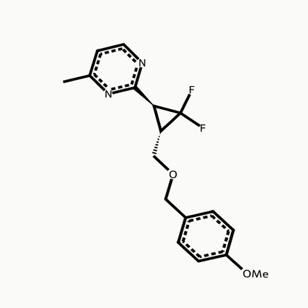 COc1ccc(COC[C@@H]2[C@@H](c3nccc(C)n3)C2(F)F)cc1